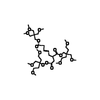 COCCC(CCOC)(COC)COC(=O)C(CC=CCC(=O)OCC(COC)(COC)COC)CC(=O)OOC(CCOC)(CCOC)COC